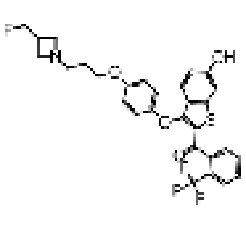 O=C(c1ccccc1C(F)(F)F)c1sc2cc(O)ccc2c1Oc1ccc(OCCCN2CC(CF)C2)cc1